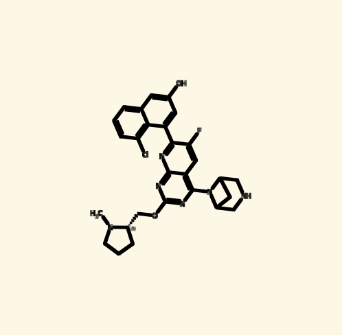 CN1CCC[C@H]1COc1nc(N2C3CNCC2C3)c2cc(F)c(-c3cc(O)cc4cccc(Cl)c34)nc2n1